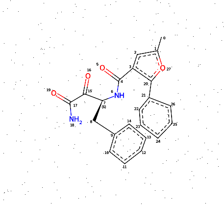 Cc1cc(C(=O)N[C@@H](Cc2ccccc2)C(=O)C(N)=O)c(-c2ccccc2)o1